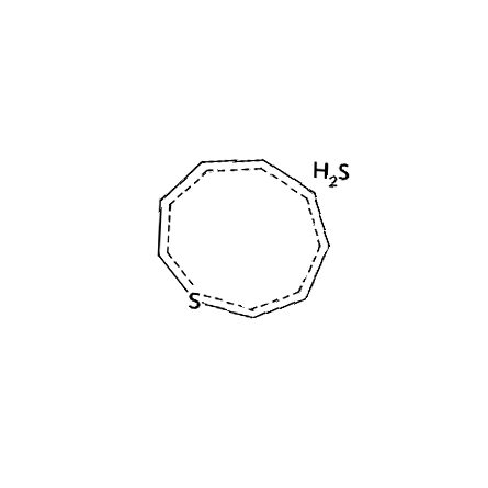 S.c1ccccsccc1